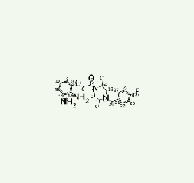 CC1CN(C(=O)COc2cccc(N)c2N)C(C)CN1Cc1ccc(F)cc1